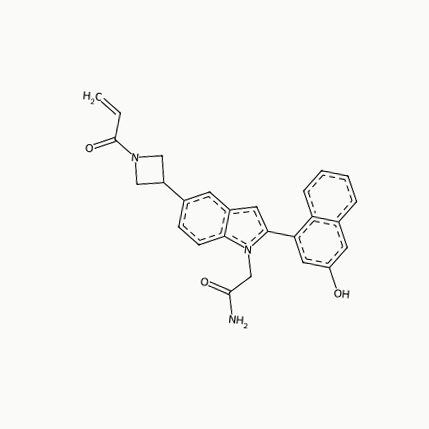 C=CC(=O)N1CC(c2ccc3c(c2)cc(-c2cc(O)cc4ccccc24)n3CC(N)=O)C1